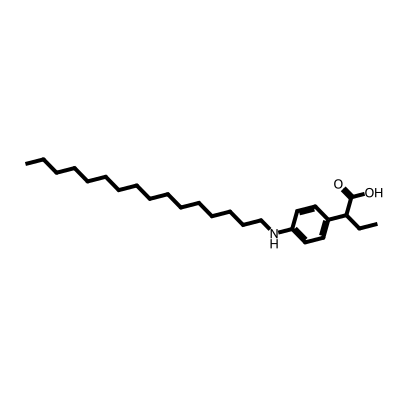 CCCCCCCCCCCCCCCCNc1ccc(C(CC)C(=O)O)cc1